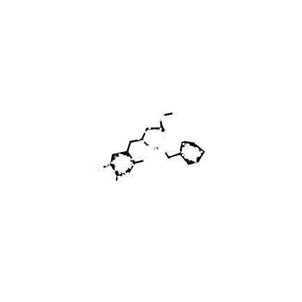 COC(=O)CC(Cc1cc(F)c(F)cc1F)NOCc1ccccc1